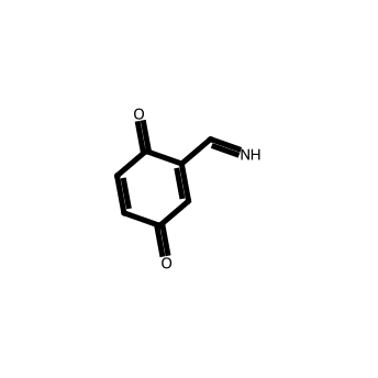 N=CC1=CC(=O)C=CC1=O